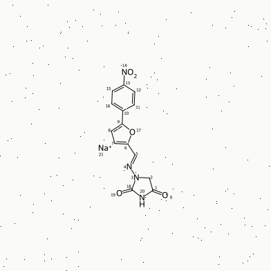 O=C1CN(N=Cc2ccc(-c3ccc([N+](=O)[O-])cc3)o2)C(=O)N1.[Na+]